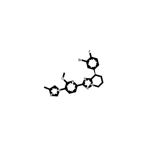 COc1nc(-c2nc3n(n2)CCC[C@@H]3c2ccc(F)c(Br)c2)ccc1-n1cnc(C)c1